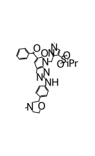 CC(C)S(=O)(=O)c1cn(C)nc1Cn1c(=O)c(C(=O)c2ccccc2)cc2cnc(Nc3ccc(C4CN(C)CCO4)cc3)nc21